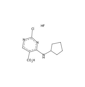 F.O=C(O)c1cnc(Cl)nc1NC1CCCC1